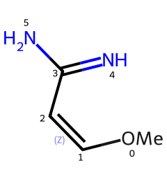 CO/C=C\C(=N)N